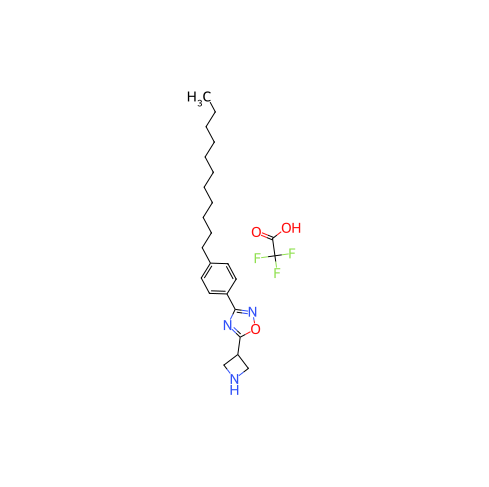 CCCCCCCCCCCc1ccc(-c2noc(C3CNC3)n2)cc1.O=C(O)C(F)(F)F